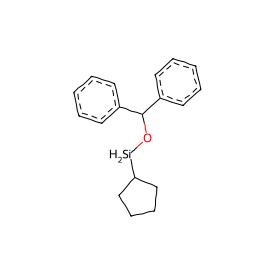 c1ccc(C(O[SiH2]C2CCCC2)c2ccccc2)cc1